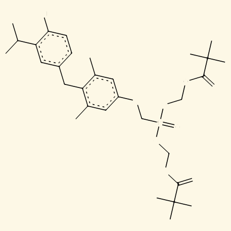 Cc1cc(OCP(=O)(OCOC(=O)C(C)(C)C)OCOC(=O)C(C)(C)C)cc(C)c1Cc1ccc(O)c(C(C)C)c1